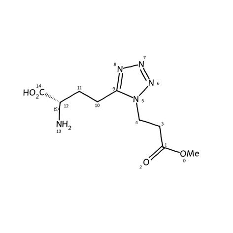 COC(=O)CCn1nnnc1CC[C@H](N)C(=O)O